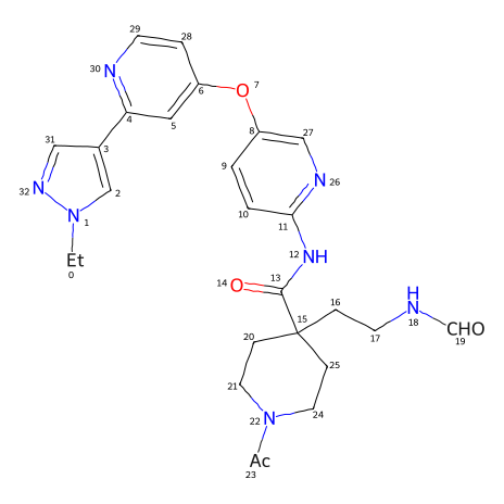 CCn1cc(-c2cc(Oc3ccc(NC(=O)C4(CCNC=O)CCN(C(C)=O)CC4)nc3)ccn2)cn1